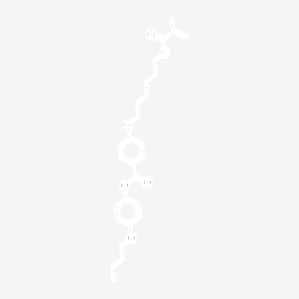 C=C(C)C(=O)OCCCCCCOc1ccc(C(=O)Oc2ccc(OCCCC)cc2)cc1